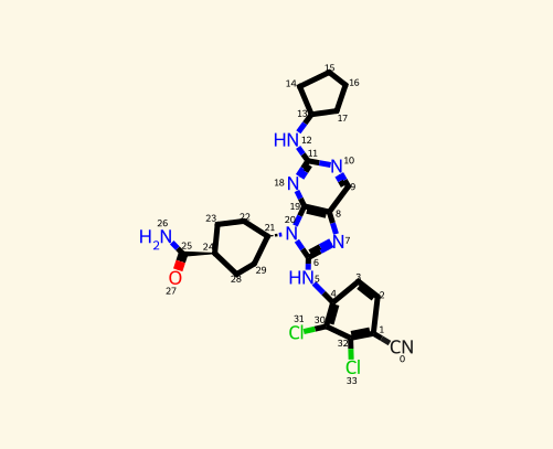 N#Cc1ccc(Nc2nc3cnc(NC4CCCC4)nc3n2[C@H]2CC[C@H](C(N)=O)CC2)c(Cl)c1Cl